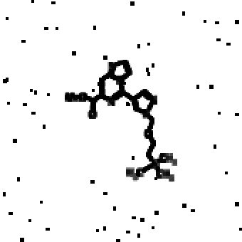 COC(=O)c1cc2nccn2c(-c2cnn(COCC[Si](C)(C)C)c2)n1